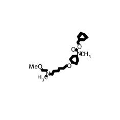 COCCN(C)CCCCCCO[C@H]1CC[C@H](N(C)C(=O)OCc2ccccc2)CC1